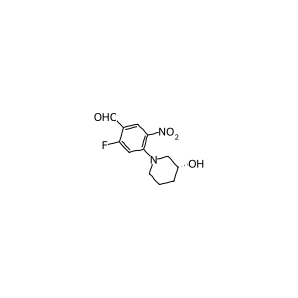 O=Cc1cc([N+](=O)[O-])c(N2CCC[C@@H](O)C2)cc1F